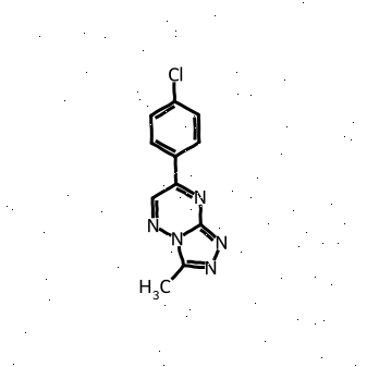 Cc1nnc2nc(-c3ccc(Cl)cc3)cnn12